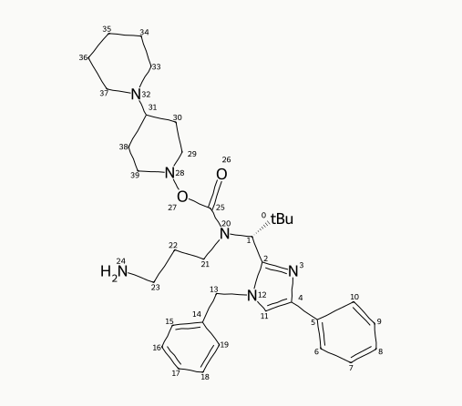 CC(C)(C)[C@H](c1nc(-c2ccccc2)cn1Cc1ccccc1)N(CCCN)C(=O)ON1CCC(N2CCCCC2)CC1